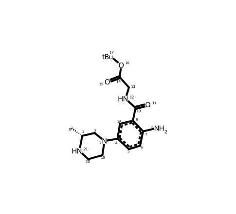 C[C@@H]1CN(c2ccc(N)c(C(=O)NCC(=O)OC(C)(C)C)c2)CCN1